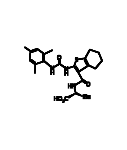 CC[C@H](C)[C@H](NC(=O)c1c(NC(=O)Nc2c(C)cc(C)cc2C)sc2c1CCCC2)C(=O)O